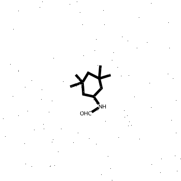 CC1(C)CC(NC=O)CC(C)(C)C1